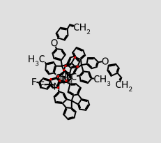 C=Cc1ccc(Oc2ccc(C3(c4cc(C)ccc4C)c4ccccc4-c4ccc(N(c5ccc(F)cc5)c5ccc6c(c5)C5(c7ccccc7-6)c6ccccc6-c6ccc(N(c7ccc(F)cc7)c7ccc8c(c7)C(c7ccc(Oc9ccc(C=C)cc9)cc7)(c7cc(C)ccc7C)c7ccccc7-8)cc65)cc43)cc2)cc1